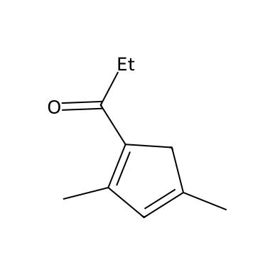 CCC(=O)C1=C(C)C=C(C)C1